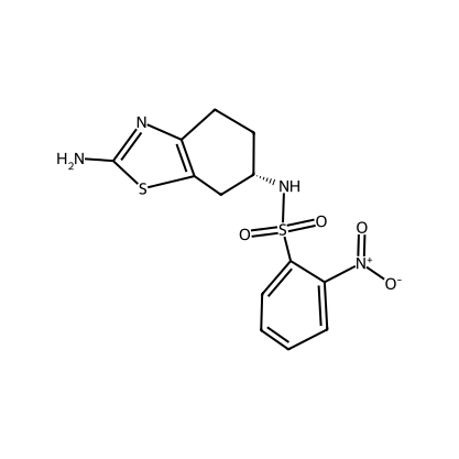 Nc1nc2c(s1)C[C@@H](NS(=O)(=O)c1ccccc1[N+](=O)[O-])CC2